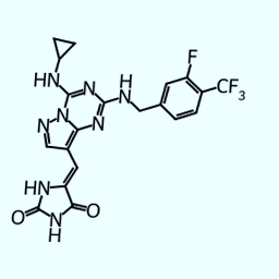 O=C1NC(=O)/C(=C/c2cnn3c(NC4CC4)nc(NCc4ccc(C(F)(F)F)c(F)c4)nc23)N1